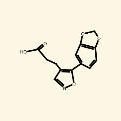 O=C(O)CCc1cnoc1-c1ccc2c(c1)OCO2